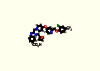 O=C(O)c1ccc2nc(CN3CCC(Oc4ccnc(COc5ccc(C(F)(F)F)cc5F)c4)CC3)n(C[C@@H]3CCO3)c2c1